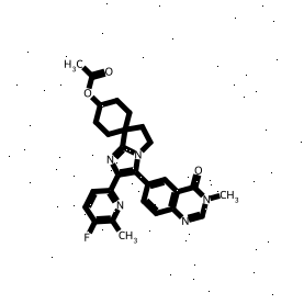 CC(=O)OC1CCC2(CC1)CCn1c2nc(-c2ccc(F)c(C)n2)c1-c1ccc2ncn(C)c(=O)c2c1